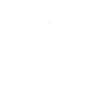 COc1c(C)c(C(N)=O)cc(C)c1OCCCBr